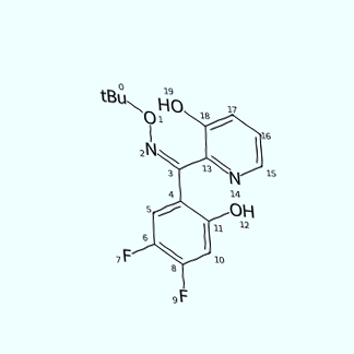 CC(C)(C)ON=C(c1cc(F)c(F)cc1O)c1ncccc1O